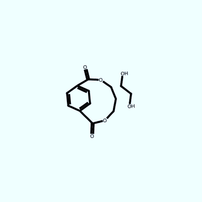 O=C1OCCCOC(=O)c2ccc1cc2.OCCO